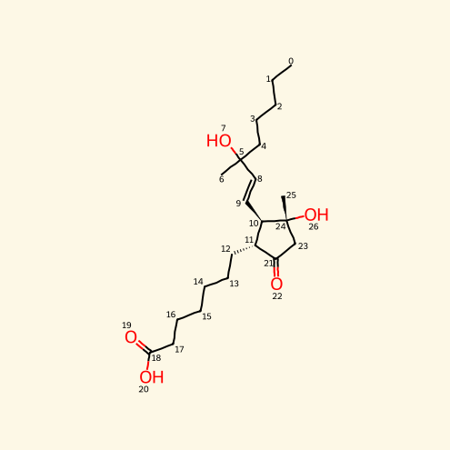 CCCCCC(C)(O)C=C[C@@H]1[C@@H](CCCCCCC(=O)O)C(=O)C[C@@]1(C)O